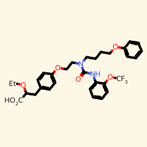 CCOC(Cc1ccc(OCCN(CCCCOc2ccccc2)C(=O)Nc2ccccc2OC(F)(F)F)cc1)C(=O)O